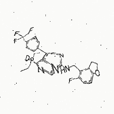 CCP(=O)(CC)c1ncn2c(NCc3c(F)ccc4c3CCO4)ncc(-c3ccc(C(F)(F)F)cc3)c12